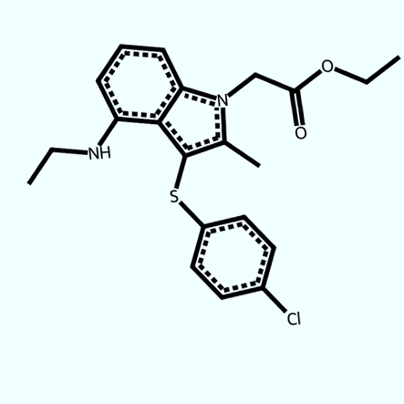 CCNc1cccc2c1c(Sc1ccc(Cl)cc1)c(C)n2CC(=O)OCC